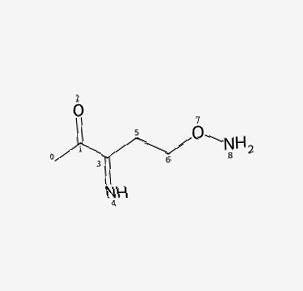 CC(=O)C(=N)CCON